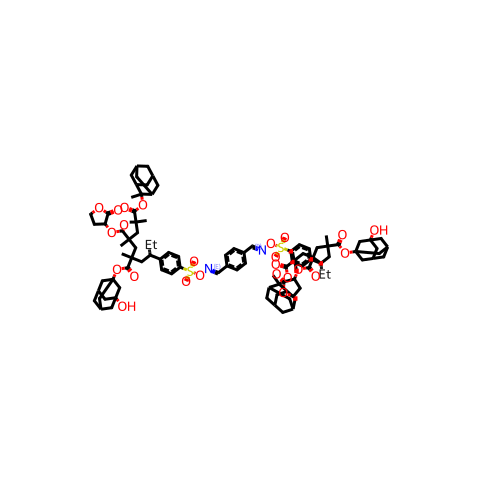 CCC(CC(C)(CC(C)(CC(C)(C)C(=O)OC1(C)C2CC3CC(C2)CC1C3)C(=O)OC1CCOC1=O)C(=O)OC12CC3CC(CC(O)(C3)C1)C2)c1ccc(S(=O)(=O)O/N=C/c2ccc(/C=N/OS(=O)(=O)c3ccc(C(CC)CC(C)(CC(C)(CC(C)(C)C(=O)OC4(C)C5CC6CC(C5)CC4C6)C(=O)OC4CCOC4=O)C(=O)OC45CC6CC(CC(O)(C6)C4)C5)cc3)cc2)cc1